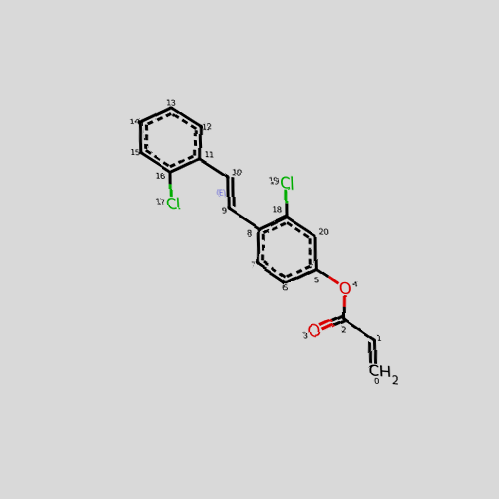 C=CC(=O)Oc1ccc(/C=C/c2ccccc2Cl)c(Cl)c1